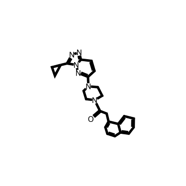 O=C(Cc1cccc2ccccc12)N1CCN(c2ccc3nnc(C4CC4)n3n2)CC1